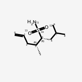 C=CC[C@@H](C)[C@@H](CC(C)C)S(N)(=O)=O